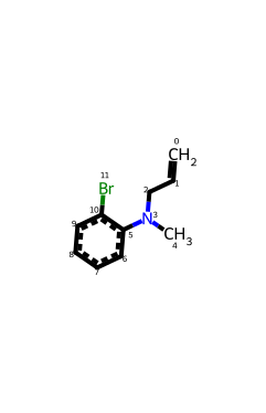 C=CCN(C)c1ccccc1Br